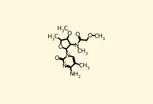 COCC(=O)N(C)C1C(OC)C(C)OC1n1cc(C)c(N)nc1=O